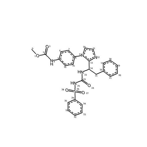 COC(=O)Nc1ccc(-n2ccnc2C(Cc2ccccc2)NC(=O)NS(=O)(=O)c2ccccc2)cc1